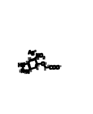 O=C([O-])COc1cc2nn[nH]c2cc1[N+](=O)[O-].[Ag+]